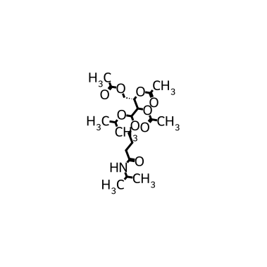 CC(=O)OC[C@H](OC(C)=O)C(OC(C)=O)C(OCCCC(=O)NC(C)C)OC(C)C